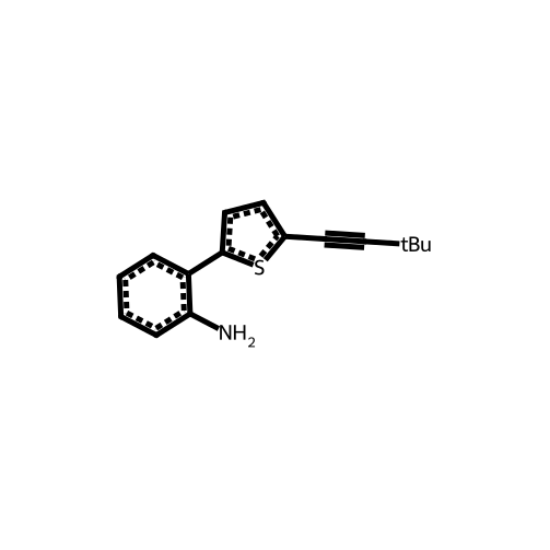 CC(C)(C)C#Cc1ccc(-c2ccccc2N)s1